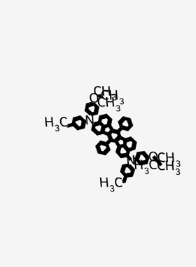 CCc1ccc(N(c2ccc(OC(C)(C)C)cc2)c2ccc3c4c(-c5ccccc5)c5c6ccc(N(c7ccc(CC)cc7)c7ccc(OC(C)(C)C)cc7)c7cccc(c5c(-c5ccccc5)c4c4cccc2c43)c76)cc1